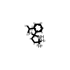 [2H]C1([2H])CCC([2H])(c2ccccc2C(C)C)N1